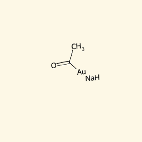 C[C](=O)[Au].[NaH]